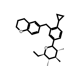 CC[C@H]1OC(c2ccc(C3CC3)c(Cc3ccc4c(c3)CCCO4)c2)[C@H](C)[C@@H](C)[C@@H]1C